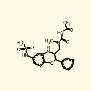 CN(CC1Nc2cc(NS(C)(=O)=O)ccc2OC1c1ccccc1)C(=O)NC(=O)C(F)(F)F